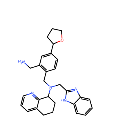 NCc1cc(C2CCCO2)ccc1CN(Cc1nc2ccccc2[nH]1)C1CCCc2cccnc21